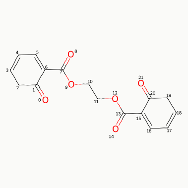 O=C1CC=CC=C1C(=O)OCCOC(=O)C1=CC=CCC1=O